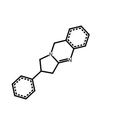 c1ccc(C2CC3=Nc4ccccc4CN3C2)cc1